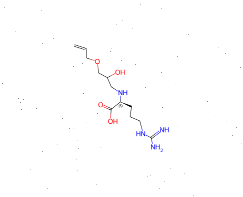 C=CCOCC(O)CN[C@@H](CCCNC(=N)N)C(=O)O